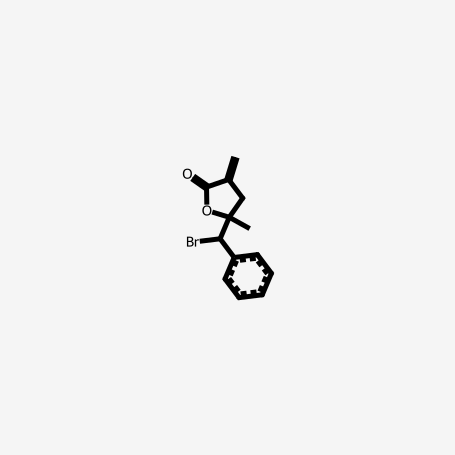 C=C1CC(C)(C(Br)c2ccccc2)OC1=O